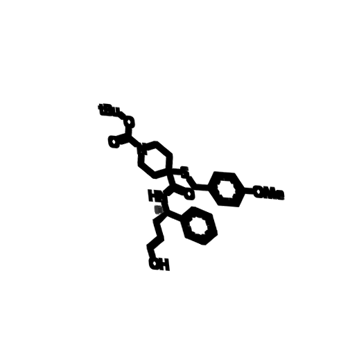 COc1ccc(CSC2(C(=O)N[C@H](CCCO)c3ccccc3)CCN(C(=O)OC(C)(C)C)CC2)cc1